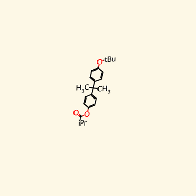 CC(C)C(=O)Oc1ccc(C(C)(C)c2ccc(OC(C)(C)C)cc2)cc1